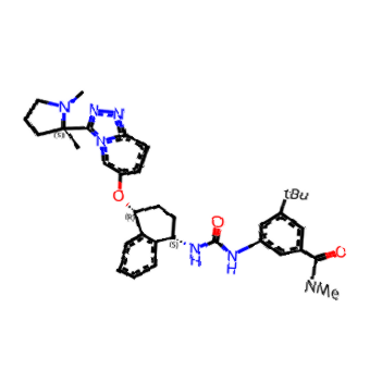 CNC(=O)c1cc(NC(=O)N[C@H]2CC[C@@H](Oc3ccc4nnc([C@]5(C)CCCN5C)n4c3)c3ccccc32)cc(C(C)(C)C)c1